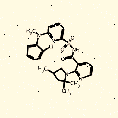 CC1CN(c2ncccc2C(=O)NS(=O)(=O)c2cccc(N(C)c3ccccc3Cl)n2)C(C)(C)C1